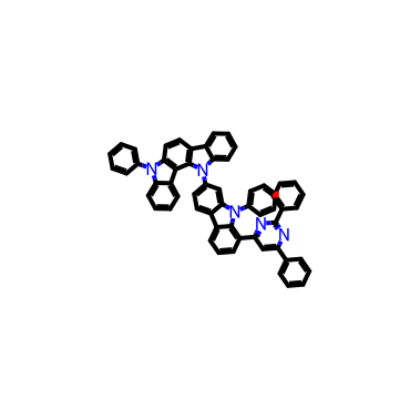 c1ccc(-c2cc(-c3cccc4c5ccc(-n6c7ccccc7c7ccc8c(c9ccccc9n8-c8ccccc8)c76)cc5n(-c5ccccc5)c34)nc(-c3ccccc3)n2)cc1